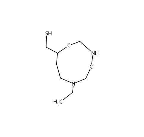 CCN1CCNCCC(CS)CC1